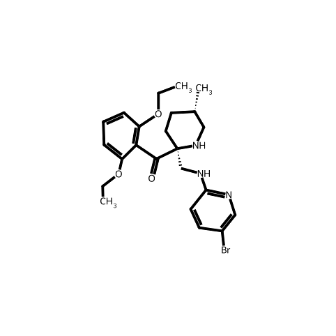 CCOc1cccc(OCC)c1C(=O)[C@@]1(CNc2ccc(Br)cn2)CC[C@H](C)CN1